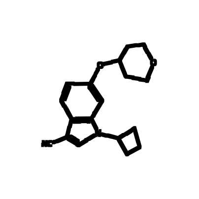 N#Cc1cn(C2CCC2)c2cc(OC3CCOCC3)ccc12